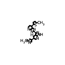 Cc1ccc(-c2ccnc3[nH]c(-c4n[nH]c5ncc(-c6cnn(C)c6)cc45)nc23)s1